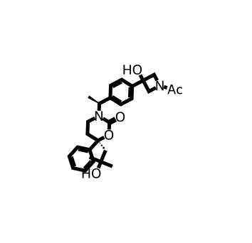 CC(=O)N1CC(O)(c2ccc([C@H](C)N3CC[C@](CC(C)(C)O)(c4ccccc4)OC3=O)cc2)C1